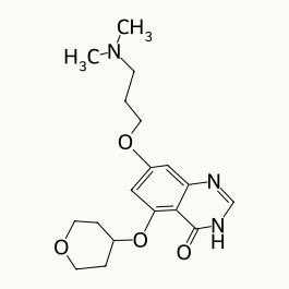 CN(C)CCCOc1cc(OC2CCOCC2)c2c(=O)[nH]cnc2c1